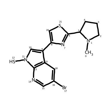 CN1CCCC1c1nc(-c2cn(S)c3ncc(Br)cc23)cs1